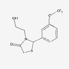 O=C1CSC(c2cccc(OC(F)(F)F)c2)N1CCO